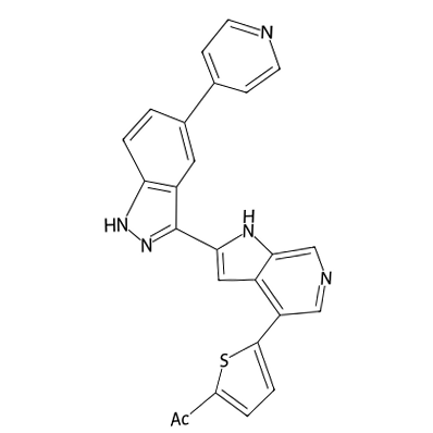 CC(=O)c1ccc(-c2cncc3[nH]c(-c4n[nH]c5ccc(-c6ccncc6)cc45)cc23)s1